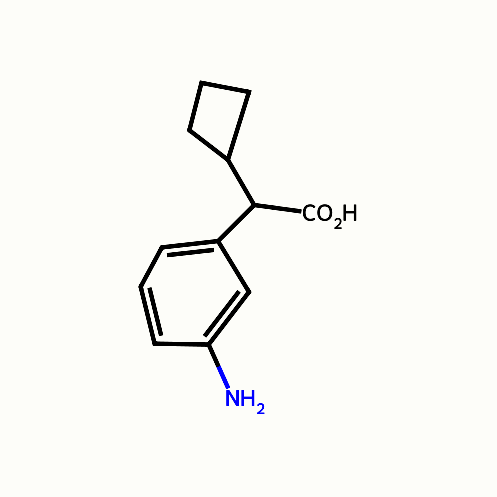 Nc1cccc(C(C(=O)O)C2CCC2)c1